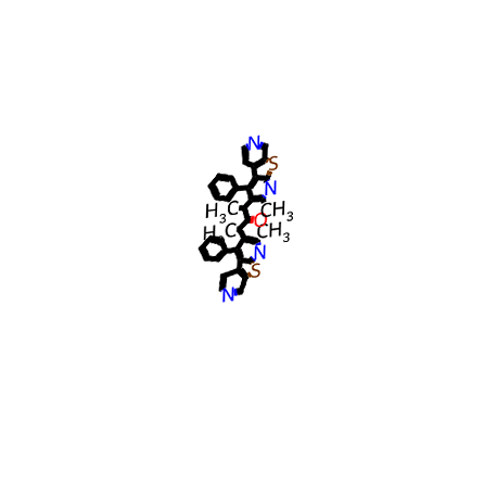 Cc1nc2sc3cnccc3c2c(-c2ccccc2)c1C(C)C(=O)C(C)c1c(C)nc2sc3cnccc3c2c1-c1ccccc1